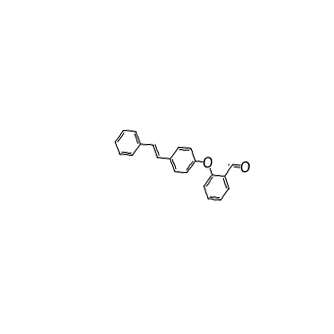 O=[C]c1ccccc1Oc1ccc(C=Cc2ccccc2)cc1